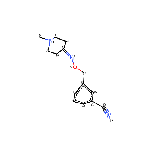 CN1CCC(=NOCc2cccc(C#N)c2)CC1